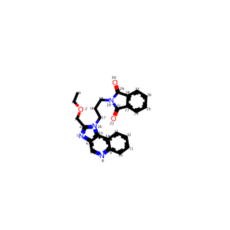 CCOCc1nc2cnc3ccccc3c2n1CCCN1C(=O)c2ccccc2C1=O